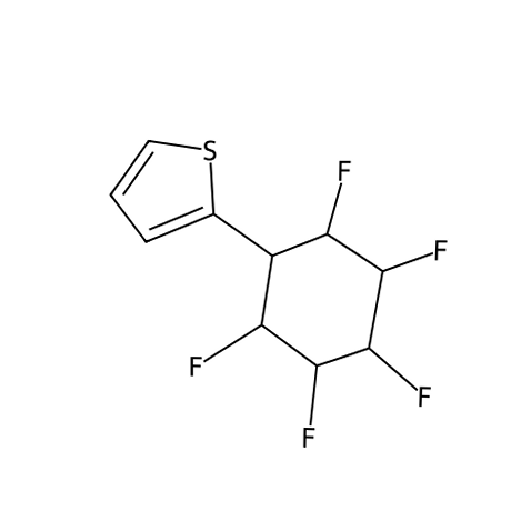 FC1C(F)C(F)C(c2cccs2)C(F)C1F